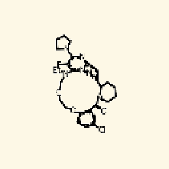 CCN1CCCCOc2ccc(Cl)cc2C(=O)N2CCCCC2c2cc3nc(N4CCCC4)c(F)c1n3n2